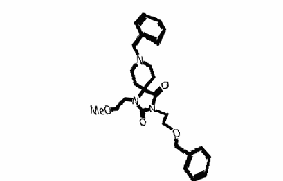 COCCN1C(=O)N(CCOCc2ccccc2)C(=O)C12CCN(Cc1ccccc1)CC2